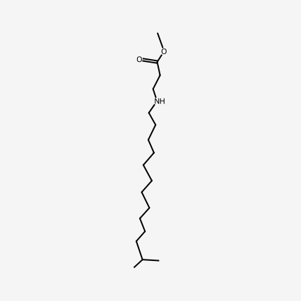 COC(=O)CCNCCCCCCCCCCCC(C)C